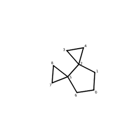 C1CC2(CC2)C2(C1)CC2